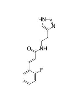 O=C(C=Cc1ccccc1F)NCCc1c[nH]cn1